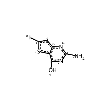 Nc1nc(O)c2sc(I)cc2n1